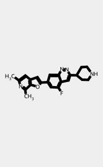 Cc1cc2cc(-c3cc(F)c4cc(C5CCNCC5)nnc4c3)oc2c(C)n1